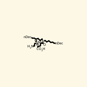 CCCCCCCCCCCCCCCCN(CCCCCCCCCCCCCCCC)C(=O)C(CCC(=O)O)NS(=O)(=O)CCN